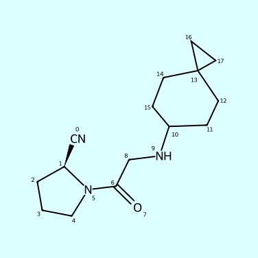 N#C[C@@H]1CCCN1C(=O)CNC1CCC2(CC1)CC2